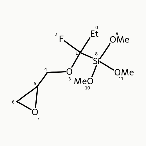 CCC(F)(OCC1CO1)[Si](OC)(OC)OC